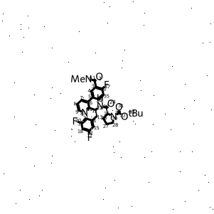 CNC(=O)c1cc(-c2cccnc2[C@H](Cc2cc(F)cc(F)c2)NC(=O)[C@@H]2CCCN2C(=O)OC(C)(C)C)ccc1F